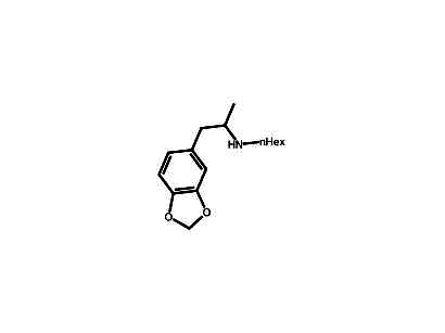 CCCCCCNC(C)Cc1ccc2c(c1)OCO2